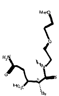 COCCOCCNC(=S)[C@@H](C(CC(N)=O)C(=O)O)C(C)(C)C